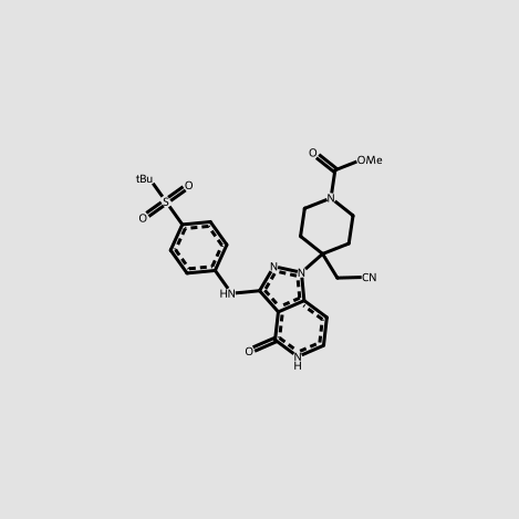 COC(=O)N1CCC(CC#N)(n2nc(Nc3ccc(S(=O)(=O)C(C)(C)C)cc3)c3c(=O)[nH]ccc32)CC1